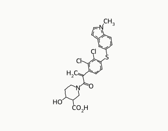 C=C(C(=O)N1CCC(O)C(C(=O)O)C1)c1ccc(Sc2ccc3c(ccn3C)c2)c(Cl)c1Cl